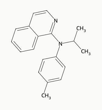 Cc1ccc(N(c2nccc3ccccc23)C(C)C)cc1